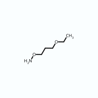 CCOCCCON